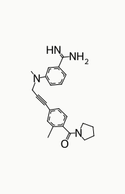 Cc1cc(C#CCN(C)c2cccc(C(=N)N)c2)ccc1C(=O)N1CCCC1